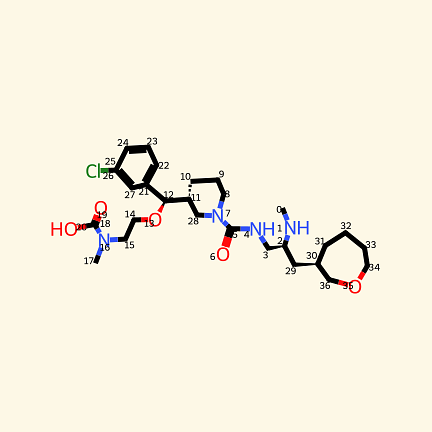 CN[C@H](CNC(=O)N1CCC[C@@H]([C@@H](OCCN(C)C(=O)O)c2cccc(Cl)c2)C1)C[C@H]1CCCCOC1